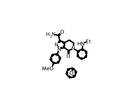 CCNc1ccccc1N1CCc2c(C(N)=O)nn(-c3ccc(OC)cc3)c2C1=O.c1cc2cc(c1)O2